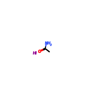 CC(N)=O.I